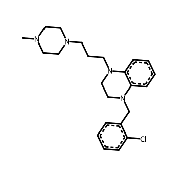 CN1CCN(CCCN2CCN(Cc3ccccc3Cl)c3ccccc32)CC1